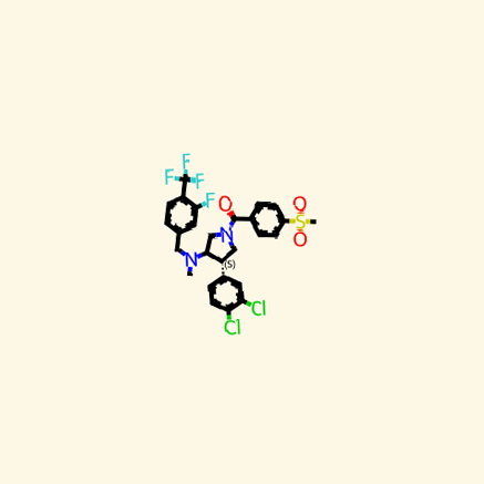 CN(Cc1ccc(C(F)(F)F)c(F)c1)C1CN(C(=O)c2ccc(S(C)(=O)=O)cc2)C[C@@H]1c1ccc(Cl)c(Cl)c1